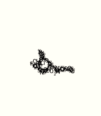 Cc1c(Cl)c2c(Cl)c(C)c1-c1c(-c3ccc(F)cc3)sc3ncnc(c13)O[C@@H](C(=O)O)Cc1cc(ccc1OCc1ccnc(C3CCC(OCC4COCCO4)CC3)n1)OC[C@@H](CN1CCN(C)CC1)O2